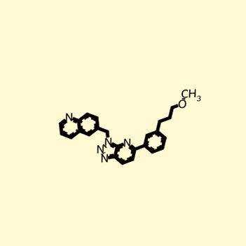 COCCCc1cccc(-c2ccc3nnn(Cc4ccc5ncccc5c4)c3n2)c1